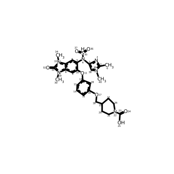 Cc1nc(N(c2cc3c(cc2Oc2cccc(OCC4CCN(C(=O)O)CC4)c2)n(C)c(=O)n3C)[SH](=O)=O)cn1C